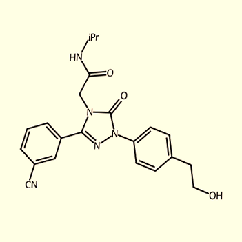 CC(C)NC(=O)Cn1c(-c2cccc(C#N)c2)nn(-c2ccc(CCO)cc2)c1=O